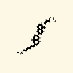 C/C=C/COc1ccc2cc([C@@H]3CC[C@@H]4CC(CCCCCCC)CCC4C3)ccc2c1F